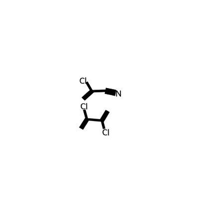 C=C(Cl)C#N.C=C(Cl)C(=C)Cl